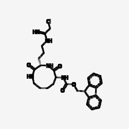 N=C(CCl)NCCC[C@@H]1NC(=O)C(NC(=O)OCC2c3ccccc3-c3ccccc32)CCCCNC1=O